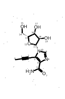 CC#Cc1c(C(N)=O)ncn1[C@@H]1O[C@H](CO)[C@@H](O)[C@H]1O